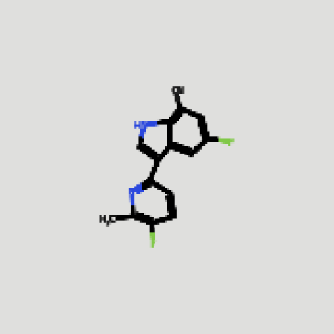 Cc1nc(-c2c[nH]c3c(C#N)cc(F)cc23)ccc1F